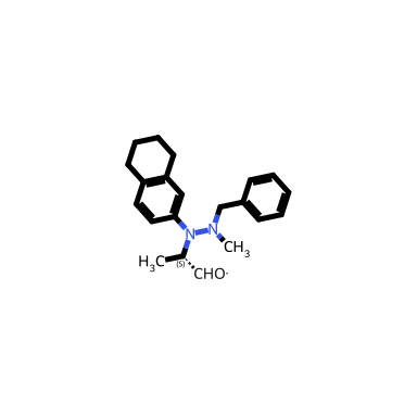 C[C@@H]([C]=O)N(c1ccc2c(c1)CCCC2)N(C)Cc1ccccc1